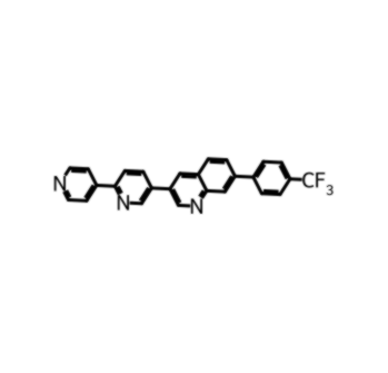 FC(F)(F)c1ccc(-c2ccc3cc(-c4ccc(-c5ccncc5)nc4)cnc3c2)cc1